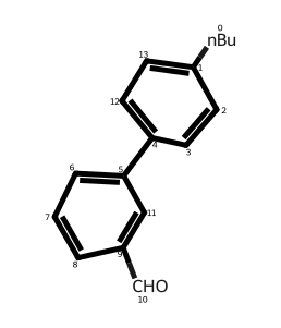 CCCCc1ccc(-c2cccc(C=O)c2)cc1